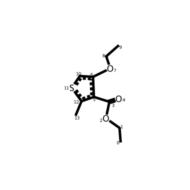 CCOC(=O)c1c(OCC)csc1C